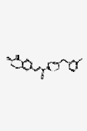 Cc1cccc(CC2=CCN(C(=O)/C=C/c3cnc4c(c3)CCC(=O)N4)CC2)c1